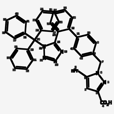 CCCc1cc(C(=O)O)nn1Cc1ccc(-c2ccccc2-c2nnnn2C(c2ccccc2)(c2ccccc2)c2ccccc2)cc1